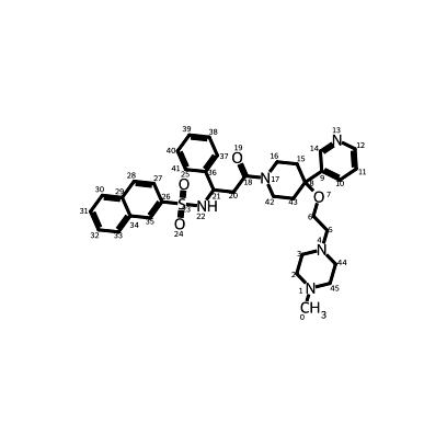 CN1CCN(CCOC2(c3cccnc3)CCN(C(=O)CC(NS(=O)(=O)c3ccc4ccccc4c3)c3ccccc3)CC2)CC1